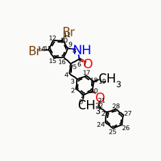 Cc1cc(C=C2C(=O)Nc3c(Br)cc(Br)cc32)cc(C)c1OCc1ccccc1